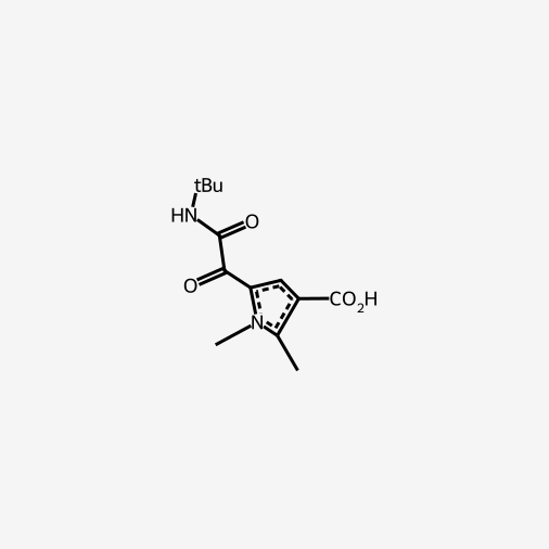 Cc1c(C(=O)O)cc(C(=O)C(=O)NC(C)(C)C)n1C